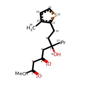 COC(=O)CC(=O)CC(O)(CCc1sccc1C)C(C)C